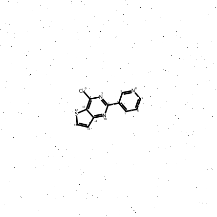 Clc1nc(-c2cccnc2)nc2ccsc12